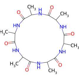 CC1NC(=O)C(C)NC(=O)C(C)NC(=O)C(C)NC(=O)C(C)NC(=O)C(C)NC1=O